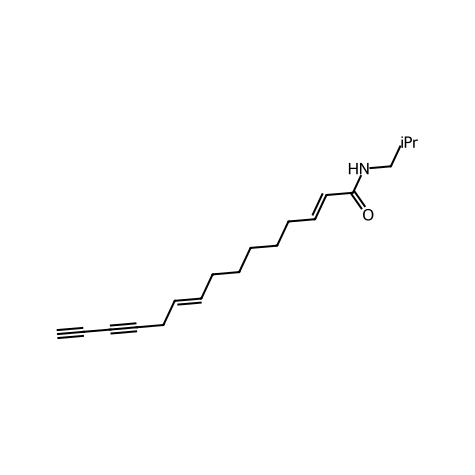 C#CC#CCC=CCCCCCC=CC(=O)NCC(C)C